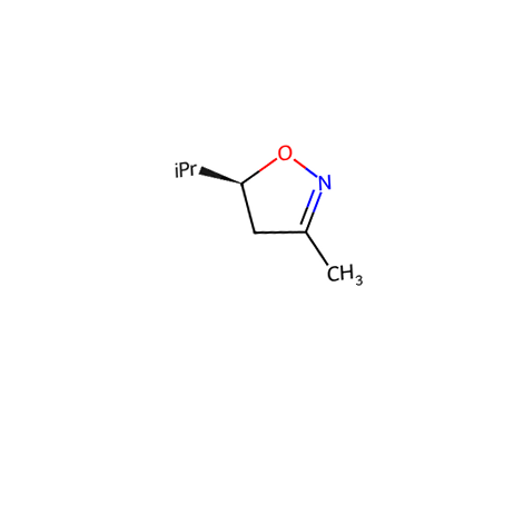 CC1=NO[C@H](C(C)C)C1